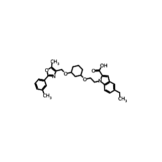 CCc1ccc2c(c1)cc(C(=O)O)n2CCOC1CCCC(OCc2nc(-c3cccc(C)c3)oc2C)C1